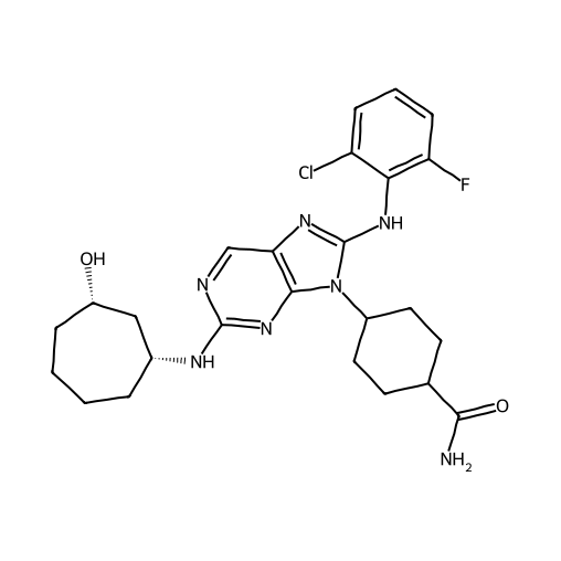 NC(=O)C1CCC(n2c(Nc3c(F)cccc3Cl)nc3cnc(N[C@@H]4CCCC[C@H](O)C4)nc32)CC1